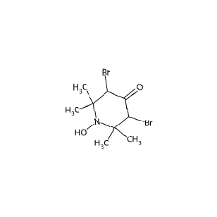 CC1(C)C(Br)C(=O)C(Br)C(C)(C)N1O